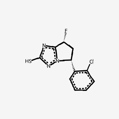 F[C@@H]1C[C@H](c2ccccc2Cl)n2nc(S)nc21